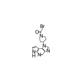 O=C(CBr)N1CCC(n2cnc3cnc4[nH]ccc4c32)CC1